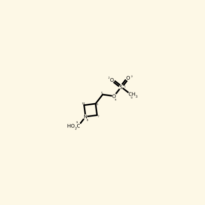 CS(=O)(=O)OCC1CN(C(=O)O)C1